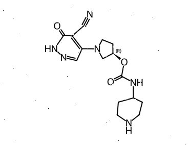 N#Cc1c(N2CC[C@@H](OC(=O)NC3CCNCC3)C2)cn[nH]c1=O